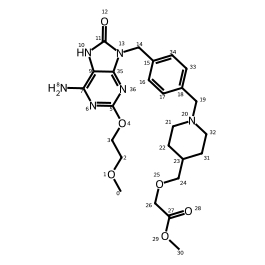 COCCOc1nc(N)c2[nH]c(=O)n(Cc3ccc(CN4CCC(COCC(=O)OC)CC4)cc3)c2n1